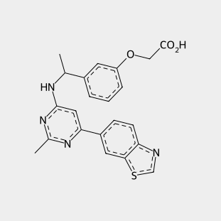 Cc1nc(NC(C)c2cccc(OCC(=O)O)c2)cc(-c2ccc3ncsc3c2)n1